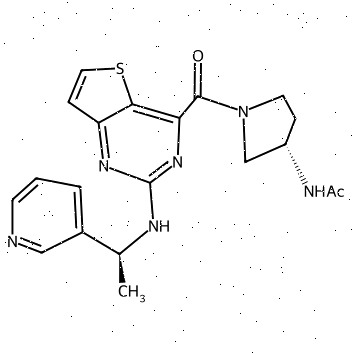 CC(=O)N[C@H]1CCN(C(=O)c2nc(N[C@@H](C)c3cccnc3)nc3ccsc23)C1